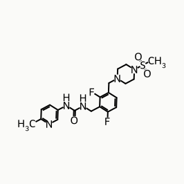 Cc1ccc(NC(=O)NCc2c(F)ccc(CN3CCN(S(C)(=O)=O)CC3)c2F)cn1